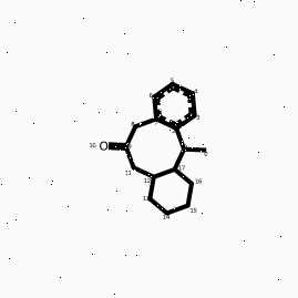 CC1c2ccccc2CC(=O)CC2CCCCC21